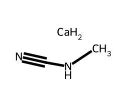 CNC#N.[CaH2]